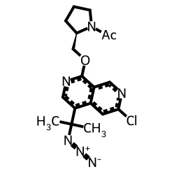 CC(=O)N1CCC[C@@H]1COc1ncc(C(C)(C)N=[N+]=[N-])c2cc(Cl)ncc12